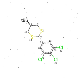 CC(C)(C)[C@H]1CS[C@H](c2cc(Cl)c(Cl)c(Cl)c2)SC1